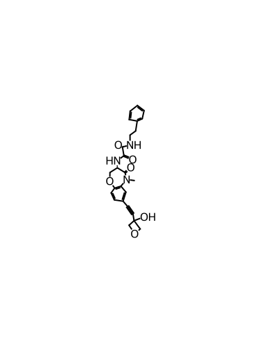 CN1C(=O)[C@@H](NC(=O)C(=O)NCCc2ccccc2)COc2ccc(C#CC3(O)COC3)cc21